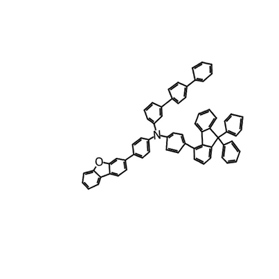 c1ccc(-c2ccc(-c3cccc(N(c4ccc(-c5ccc6c(c5)oc5ccccc56)cc4)c4ccc(-c5cccc6c5-c5ccccc5C6(c5ccccc5)c5ccccc5)cc4)c3)cc2)cc1